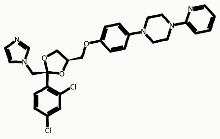 Clc1ccc([C@]2(Cn3ccnc3)OC[C@@H](COc3ccc(N4CCN(c5ccccn5)CC4)cc3)O2)c(Cl)c1